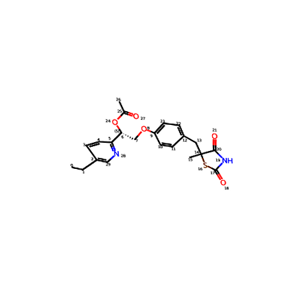 CCc1ccc([C@@H](COc2ccc(CC3(C)SC(=O)NC3=O)cc2)OC(C)=O)nc1